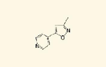 Cc1cc(-c2ccncc2)on1